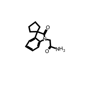 NC(=O)CN1C(=O)C2(CCCC2)c2ccccc21